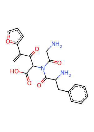 C=C(C(=O)C(C(=O)O)N(C(=O)CN)C(=O)C(N)Cc1ccccc1)c1ccco1